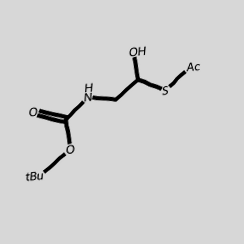 CC(=O)SC(O)CNC(=O)OC(C)(C)C